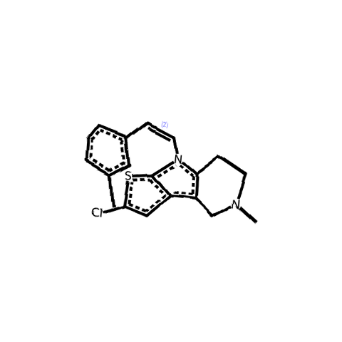 Cc1cccc(/C=C\n2c3c(c4cc(Cl)sc42)CN(C)CC3)c1